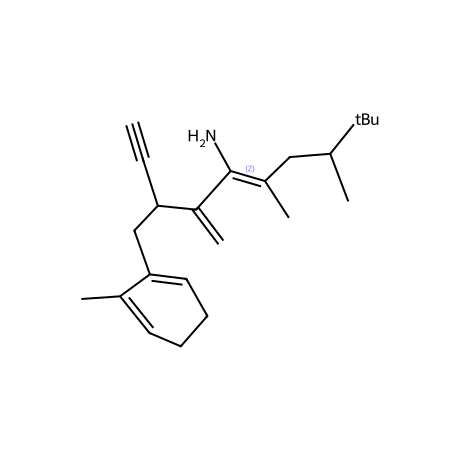 C#CC(CC1=CCCC=C1C)C(=C)/C(N)=C(\C)CC(C)C(C)(C)C